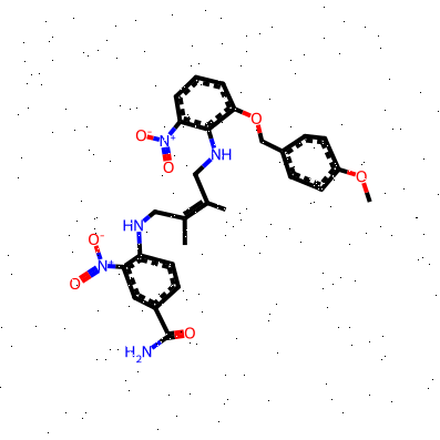 COc1ccc(COc2cccc([N+](=O)[O-])c2NCC(C)=C(C)CNc2ccc(C(N)=O)cc2[N+](=O)[O-])cc1